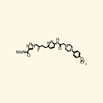 CNC(=O)c1cn(C[C@@H](F)CCc2ccc(NC(=O)CN3CCN(c4ccc(OC(F)(F)F)cc4)CC3)nn2)nn1